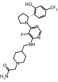 NC(=O)CN1CCC(CNc2ncnc(N3CCC[C@@H]3c3ccc(C(F)(F)F)cc3O)c2F)CC1